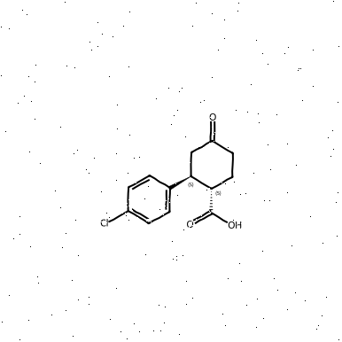 O=C1CC[C@H](C(=O)O)[C@@H](c2ccc(Cl)cc2)C1